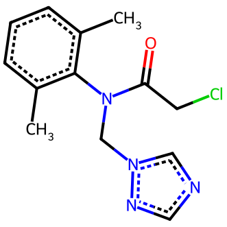 Cc1cccc(C)c1N(Cn1cncn1)C(=O)CCl